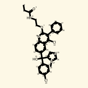 CCC(=O)NCCOc1nc2ccc(C(O)(c3ccc(Cl)cc3)c3cncn3C)cc2c(Cl)c1-c1ccccc1